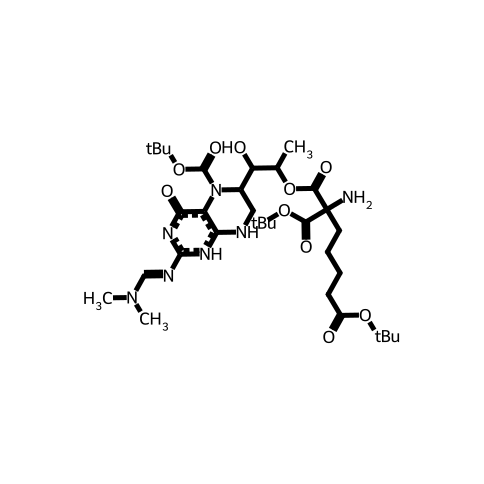 CC(OC(=O)C(N)(CCCCC(=O)OC(C)(C)C)C(=O)OC(C)(C)C)C(O)C1CNc2[nH]c(N=CN(C)C)nc(=O)c2N1C(=O)OC(C)(C)C